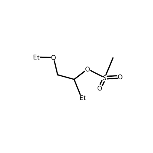 CCOCC(CC)OS(C)(=O)=O